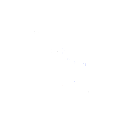 CCCC1CC(=O)N(Cc2c(C)nc3ccc(NCc4ccc(OC)cc4OC)nn23)C1